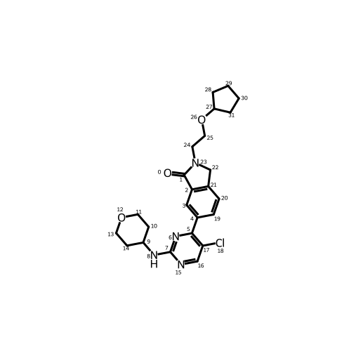 O=C1c2cc(-c3nc(NC4CCOCC4)ncc3Cl)ccc2CN1CCOC1CCCC1